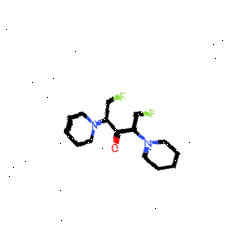 O=C(C(CF)N1CCCCC1)C(CF)N1CCCCC1